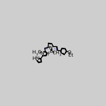 CCOc1ccc(/C=C/C2=[N+](B(C)F)C(=C\c3ccc(-c4ccc[nH]4)n3C)/C=C2)cc1